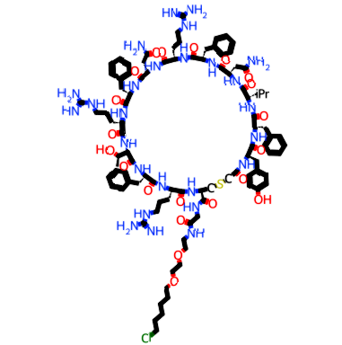 CC(C)[C@@H]1NC(=O)[C@H](Cc2ccccc2)NC(=O)[C@@H](Cc2ccc(O)cc2)NC(=O)CSC[C@@H](C(=O)NCC(=O)NCCOCCOCCCCCCCl)NC(=O)[C@H](CCCNC(=N)N)NC(=O)[C@H](Cc2ccccc2)NC(=O)[C@H]([C@@H](C)O)NC(=O)[C@H](CCCNC(=N)N)NC(=O)[C@H](Cc2ccccc2)NC(=O)[C@H](CC(N)=O)NC(=O)[C@H](CCCNC(=N)N)NC(=O)[C@H](Cc2ccccc2)NC(=O)[C@H](CC(N)=O)NC1=O